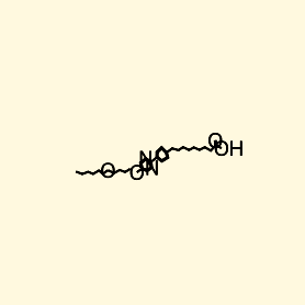 CCCCCCOCCCCOc1cnc(-c2ccc(CCCCCCCCC(=O)O)cc2)nc1